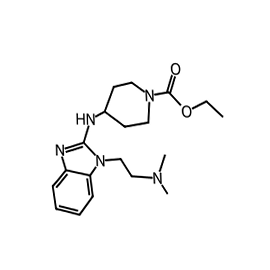 CCOC(=O)N1CCC(Nc2nc3ccccc3n2CCN(C)C)CC1